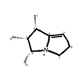 C[C@@H]1[C@H](C)C2=CCCN2[C@@H]1C